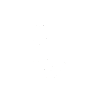 CCOC(=O)Cc1ccc(-c2ccc(-c3onc(C)c3N(C(=O)OCC)c3c(Cl)cccc3Cl)cc2)cc1